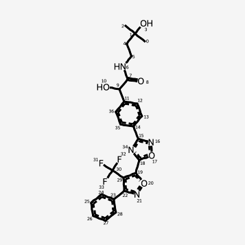 CC(C)(O)CCNC(=O)C(O)c1ccc(-c2noc(-c3onc(-c4ccccc4)c3C(F)(F)F)n2)cc1